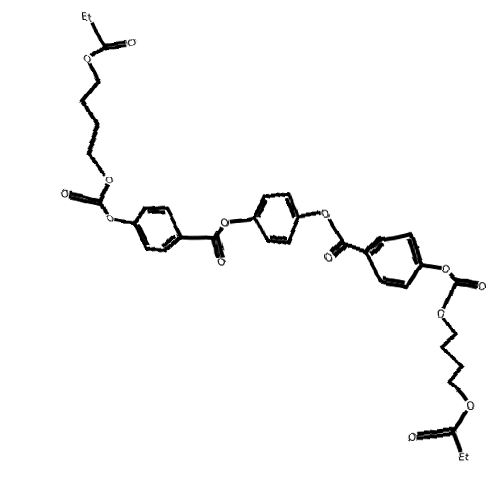 CCC(=O)OCCCCOC(=O)Oc1ccc(C(=O)Oc2ccc(OC(=O)c3ccc(OC(=O)OCCCCOC(=O)CC)cc3)cc2)cc1